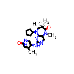 Cc1cc(=O)[nH]cc1Nc1ncc2c(n1)N(C1CCCC1)CC(C)(C)C(=O)N2C